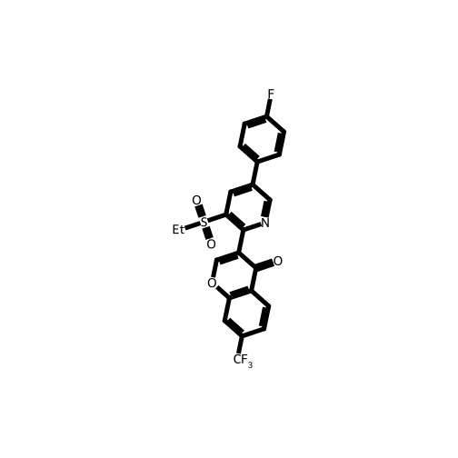 CCS(=O)(=O)c1cc(-c2ccc(F)cc2)cnc1-c1coc2cc(C(F)(F)F)ccc2c1=O